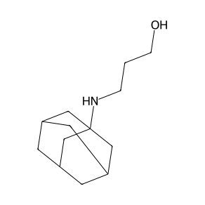 OCCCNC12CC3CC(CC(C3)C1)C2